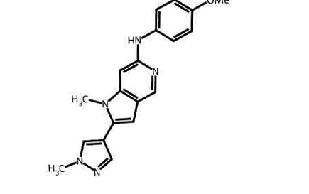 COc1ccc(Nc2cc3c(cn2)cc(-c2cnn(C)c2)n3C)cc1